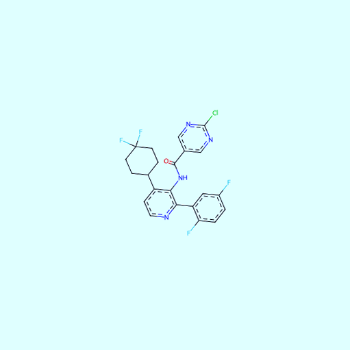 O=C(Nc1c(C2CCC(F)(F)CC2)ccnc1-c1cc(F)ccc1F)c1cnc(Cl)nc1